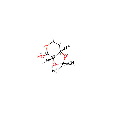 CC1(C)O[C@H]2CCOC(O)[C@H]2O1